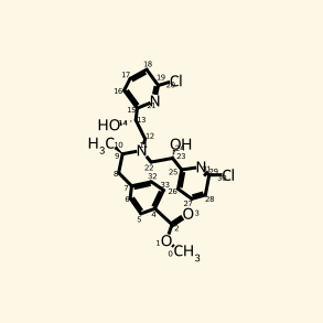 COC(=O)c1ccc(C[C@@H](C)N(C[C@H](O)c2cccc(Cl)n2)C[C@H](O)c2cccc(Cl)n2)cc1